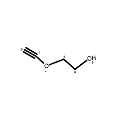 [C]#COCCO